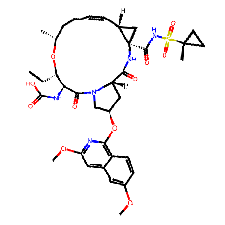 CC[C@@H]1O[C@H](C)CC/C=C\[C@@H]2C[C@@]2(C(=O)NS(=O)(=O)C2(C)CC2)NC(=O)[C@@H]2C[C@@H](Oc3nc(OC)cc4cc(OC)ccc34)CN2C(=O)[C@H]1NC(=O)O